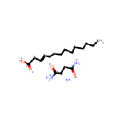 CCCCCCCCCCC=CCC(=O)O.N.NC(=O)CCC(N)=O